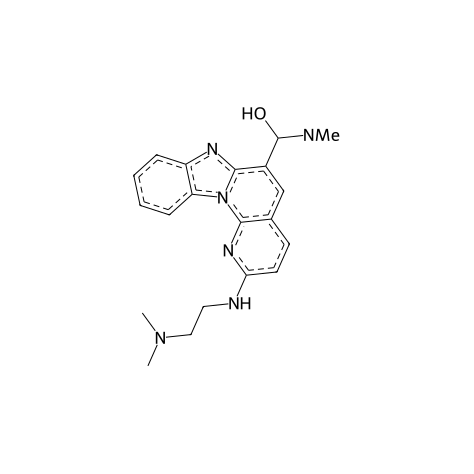 CNC(O)c1cc2ccc(NCCN(C)C)nc2n2c1nc1ccccc12